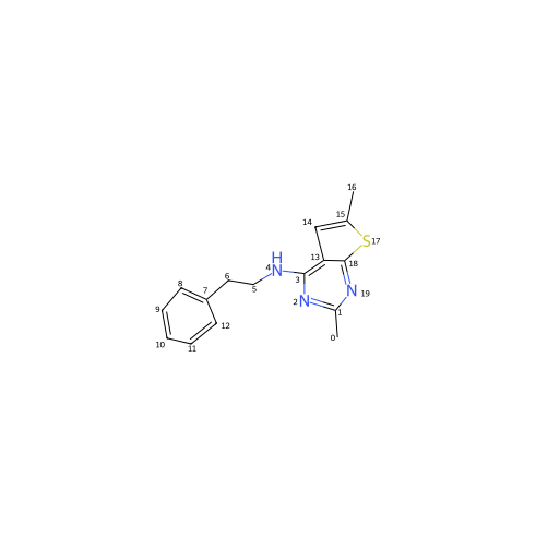 Cc1nc(NCCc2ccccc2)c2cc(C)sc2n1